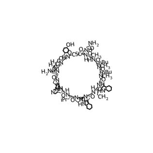 C=CC[C@@H]1NC(=O)[C@H](Cc2c[nH]c3ccccc23)NC(=O)[C@@H]2CCCN2C(=O)[C@H](CC(C)C)NC(=O)[C@H](Cc2cnc[nH]2)NC(=O)[C@@H]2CCCN2C(=O)[C@H](CC(N)=O)NC(=O)[C@H](C)N(C)C(=O)[C@H](Cc2ccc(O)cc2)NC(=O)CSC[C@@H](C(=O)NCC(N)=O)NC(=O)[C@H](C)NC(=O)[C@H](CCCC)N(C)C(=O)[C@H](CCCC)N(C)C(=O)[C@H](Cc2c[nH]c3ccccc23)NC1=O